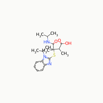 CC(C)NC(=O)C(C)(Sc1nc2ccccc2n1C(C)C)C(C)C(=O)O